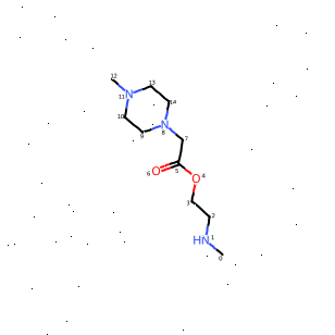 CNCCOC(=O)CN1CCN(C)CC1